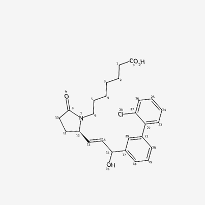 O=C(O)CCCCCCN1C(=O)CC[C@@H]1C=CC(O)c1cccc(-c2ccccc2Cl)c1